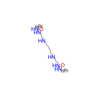 CCCNC(=O)NCCCNCCCCCCCNCCCNC(=O)NCCC